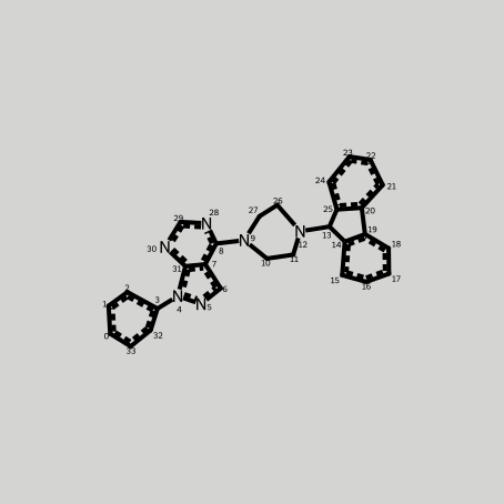 c1ccc(-n2ncc3c(N4CCN(C5c6ccccc6-c6ccccc65)CC4)ncnc32)cc1